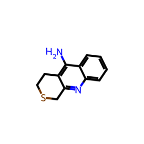 Nc1c2c(nc3ccccc13)CSCC2